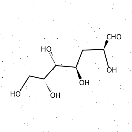 O=C[C@@H](O)C[C@@H](O)[C@@H](O)[C@H](O)CO